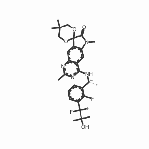 Cc1nc(N[C@H](C)c2cccc(C(F)(F)C(C)(C)O)c2F)c2cc3c(cc2n1)C1(OCC(C)(C)CO1)C(=O)N3C